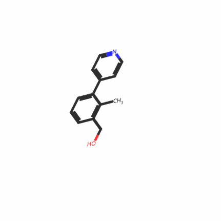 Cc1c(CO)cccc1-c1ccncc1